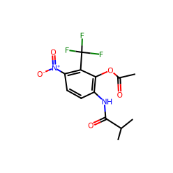 CC(=O)Oc1c(NC(=O)C(C)C)ccc([N+](=O)[O-])c1C(F)(F)F